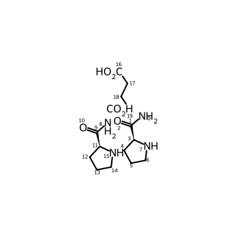 NC(=O)[C@@H]1CCCN1.NC(=O)[C@@H]1CCCN1.O=C(O)CCC(=O)O